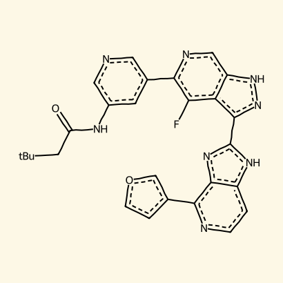 CC(C)(C)CC(=O)Nc1cncc(-c2ncc3[nH]nc(-c4nc5c(-c6ccoc6)nccc5[nH]4)c3c2F)c1